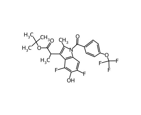 Cc1c(C(C)C(=O)OC(C)(C)C)c2c(F)c(O)c(F)cc2n1C(=O)c1ccc(OC(F)(F)F)cc1